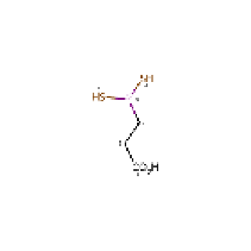 O=C(O)CCP(S)S